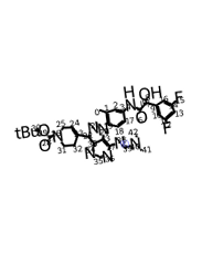 Cc1cc(NC(=O)[C@H](O)c2cc(F)cc(F)c2)ccc1-n1nc(C2=CCN(C(=O)OC(C)(C)C)CC2)c2ncnc(/N=C/N(C)C)c21